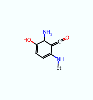 CCNC1=CC=C(O)C(N)C1=C=O